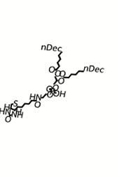 CCCCCCCCCCCCCCCC(=O)OCC(COP(=O)(O)OCCNC(=O)CCCCC1SC[C@@H]2NC(=O)N[C@H]12)OC(=O)CCCCCCCCCCCCCCC